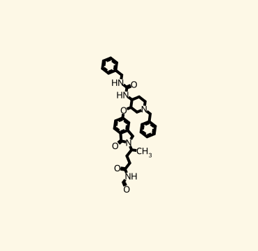 CC(CCC(=O)NC=O)N1Cc2cc(OC3CN(Cc4ccccc4)CCC3NC(=O)NCc3ccccc3)ccc2C1=O